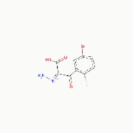 N/N=C(\C(=O)O)C(=O)c1cc(Br)ccc1F